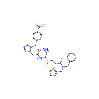 CC(CCC(=S)N(Cc1ccccc1)Cc1cccs1)C(CN)NC(=O)Cc1cncn1Cc1ccc([N+](=O)[O-])cc1